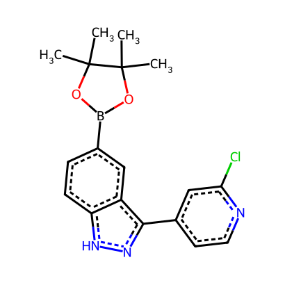 CC1(C)OB(c2ccc3[nH]nc(-c4ccnc(Cl)c4)c3c2)OC1(C)C